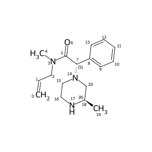 C=CCN(C)C(=O)[C@H](c1ccccc1)N1CCN[C@H](C)C1